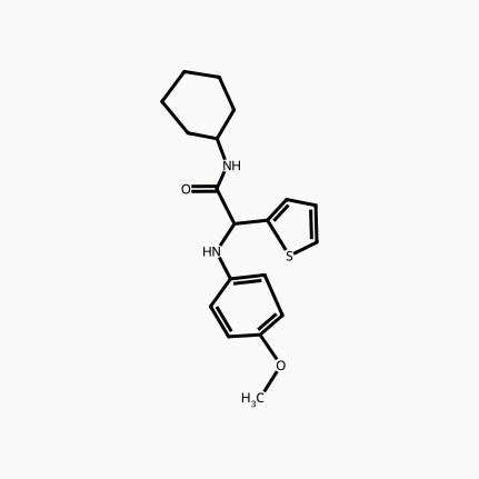 COc1ccc(NC(C(=O)NC2CCCCC2)c2cccs2)cc1